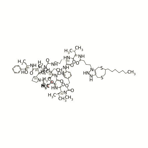 CCCCCCCC1CSCC2=C(CS1)N(CCCC(=O)N[C@H](C(=O)N[C@@H](CCCNC(N)=O)C(=O)Nc1ccc(COC(=O)N(C)[C@H](C(=O)N[C@H](C(=O)N(C)[C@@H]([C@@H](C)CC)[C@@H](CC(=O)N3CCC[C@H]3[C@H](OC)[C@@H](C)C(=O)N[C@H](C)[C@@H](O)c3ccccc3)OC)C(C)C)C(C)C)cc1)C(C)C)NN2